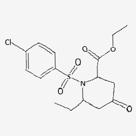 CCOC(=O)C1CC(=O)CC(CC)N1S(=O)(=O)c1ccc(Cl)cc1